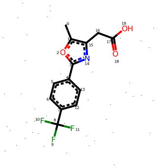 Cc1oc(-c2ccc(C(F)(F)F)cc2)nc1CC(=O)O